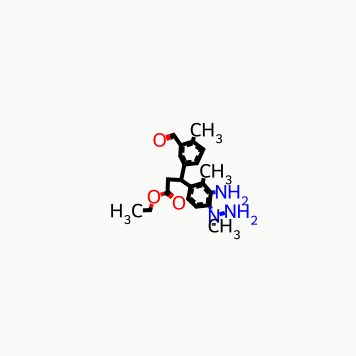 CCOC(=O)CC(c1ccc(C)c(C=O)c1)c1ccc(N(C)N)c(N)c1C